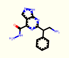 NCC(c1ccccc1)c1nc(C(=O)NN)c2cn[nH]c2n1